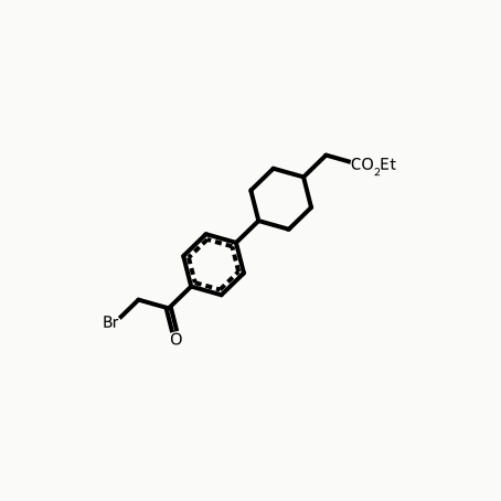 CCOC(=O)CC1CCC(c2ccc(C(=O)CBr)cc2)CC1